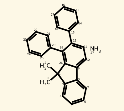 CC1(C)c2ccccc2-c2ccc(-c3ccccc3)c(-c3ccccc3)c21.N